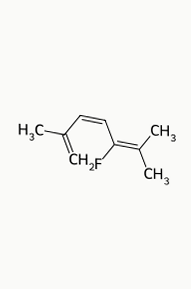 C=C(C)/C=C\C(F)=C(C)C